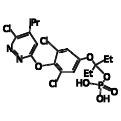 CCC(CC)(Oc1cc(Cl)c(Oc2cc(C(C)C)c(Cl)nn2)c(Cl)c1)OP(=O)(O)O